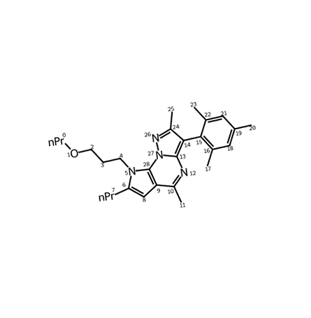 CCCOCCCn1c(CCC)cc2c(C)nc3c(-c4c(C)cc(C)cc4C)c(C)nn3c21